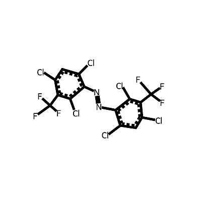 FC(F)(F)c1c(Cl)cc(Cl)c(N=Nc2c(Cl)cc(Cl)c(C(F)(F)F)c2Cl)c1Cl